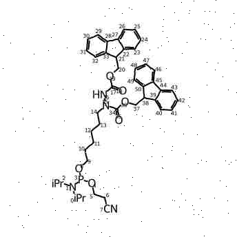 CC(C)N(C(C)C)P(OCCC#N)OCCCCCCN(NC(=O)OCC1c2ccccc2-c2ccccc21)C(=O)OCC1c2ccccc2-c2ccccc21